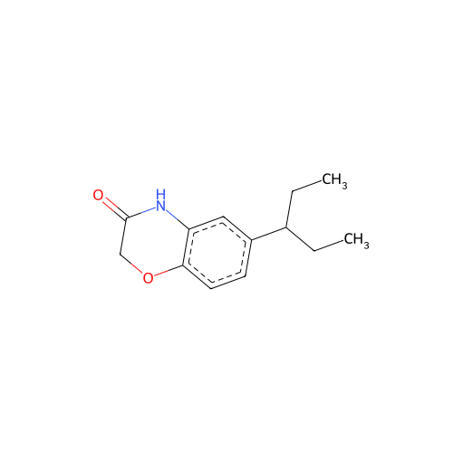 CCC(CC)c1ccc2c(c1)NC(=O)CO2